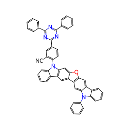 N#Cc1cc(-c2nc(-c3ccccc3)nc(-c3ccccc3)n2)ccc1-n1c2ccccc2c2cc3c(cc21)oc1cc2c4ccccc4n(-c4ccccc4)c2cc13